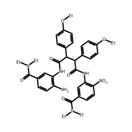 CCOc1ccc(C(C(=O)Nc2cc(C(=O)N(CC)CC)ccc2N)C(C(=O)Nc2cc(C(=O)N(CC)CC)ccc2[N+](=O)[O-])c2ccc(OCC)cc2)cc1